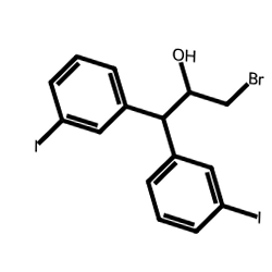 OC(CBr)C(c1cccc(I)c1)c1cccc(I)c1